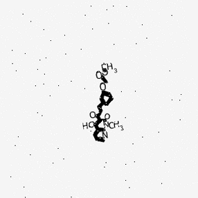 COC(=O)COc1cccc(C=CC(=O)c2c(O)c3cccnc3n(C)c2=O)c1